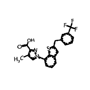 Cc1cn(-c2cccc3cc(Cc4cccc(C(F)(F)F)c4)sc23)nc1C(=O)O